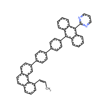 C/C=C\c1cccc2ccc3ccc(-c4ccc(-c5ccc(-c6c7ccccc7c(-c7ncccn7)c7ccccc67)cc5)cc4)cc3c12